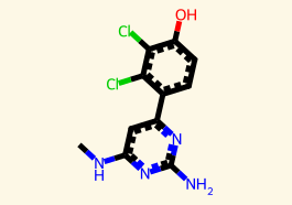 CNc1cc(-c2ccc(O)c(Cl)c2Cl)nc(N)n1